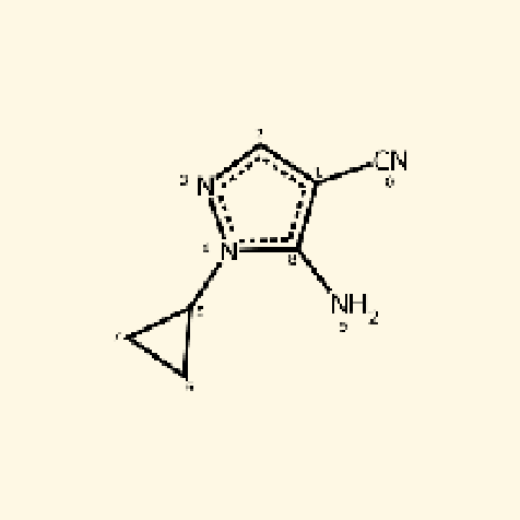 N#Cc1cnn(C2CC2)c1N